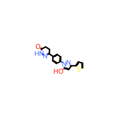 O=C1CCC(c2ccc(-n3nc(-c4cccs4)cc3O)cc2)=NN1